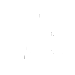 Cn1cc2c(cc1=O)CN=C(c1ccc(F)cc1)c1ccc(CCN(CC3CC3)[SH](=O)=O)cc1-2